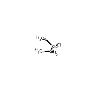 Cl[SiH]([GeH3])[SiH2][GeH3]